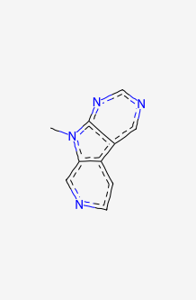 Cn1c2cnccc2c2cncnc21